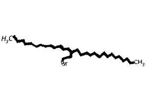 CCCCCCCCCCCCCCCC(CCBr)CCCCCCCCCCCCCC